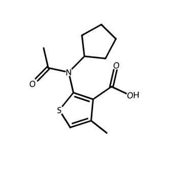 CC(=O)N(c1scc(C)c1C(=O)O)C1CCCC1